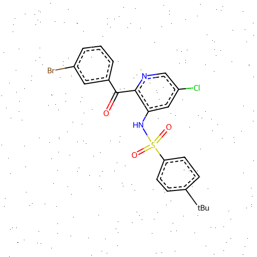 CC(C)(C)c1ccc(S(=O)(=O)Nc2cc(Cl)cnc2C(=O)c2cccc(Br)c2)cc1